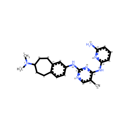 CN(C)C1CCc2ccc(Nc3ncc(C#N)c(Nc4cccc(N)n4)n3)cc2CC1